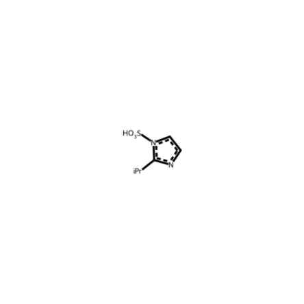 CC(C)c1nccn1S(=O)(=O)O